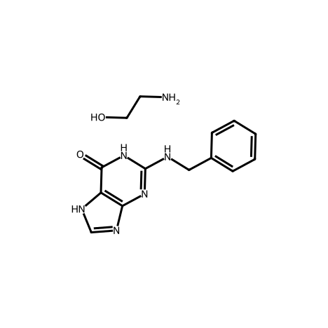 NCCO.O=c1[nH]c(NCc2ccccc2)nc2nc[nH]c12